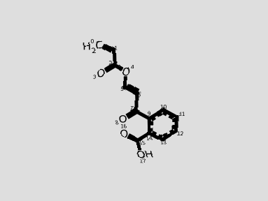 C=CC(=O)OC=CC(=O)c1ccccc1C(=O)O